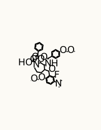 COCOc1ccc(C(=O)NC2C(C(=O)c3c(OCOC)ccc(N(C)C)c3F)CCCN(C(=O)O)C2OC(=O)c2ccccc2)cc1